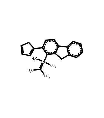 C[C](C)=[Zr]([CH3])([CH3])[c]1c(C2=CC=CC2)ccc2c1Cc1ccccc1-2